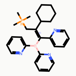 C[PH](C)(C)C/C(=C(\B(c1ccccn1)c1ccccn1)c1ccccn1)C1CCCCC1